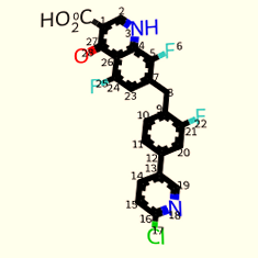 O=C(O)c1c[nH]c2c(F)c(Cc3ccc(-c4ccc(Cl)nc4)cc3F)cc(F)c2c1=O